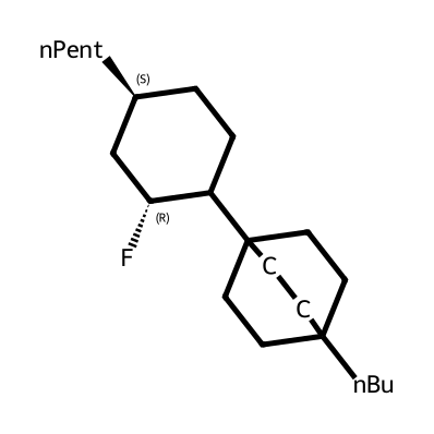 CCCCC[C@H]1CCC(C23CCC(CCCC)(CC2)CC3)[C@H](F)C1